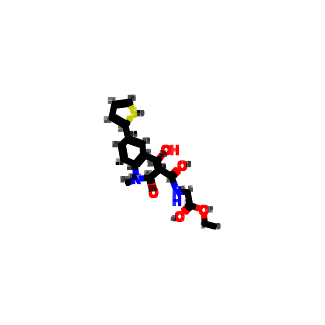 CCOC(=O)CNC(=O)c1c(O)c2cc(-c3cccs3)ccc2n(C)c1=O